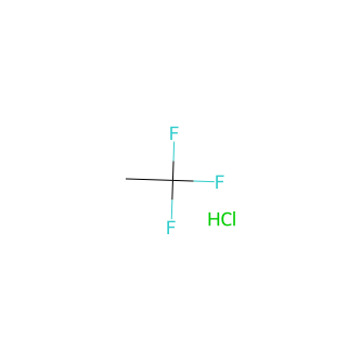 CC(F)(F)F.Cl